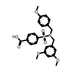 COc1ccc(CN(Cc2cc(OC)cc(OC)c2)S(=O)(=O)c2ccc(C(=O)O)cc2)cc1